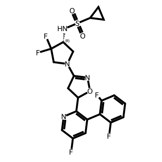 O=S(=O)(N[C@@H]1CN(C2=NOC(c3ncc(F)cc3-c3c(F)cccc3F)C2)CC1(F)F)C1CC1